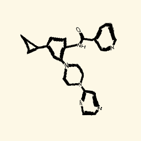 O=C(Nc1ccc(C2CC2)cc1N1CCN(c2cnccn2)CC1)c1cccnc1